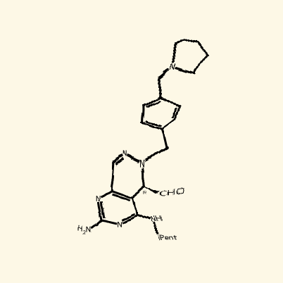 CCCC(C)Nc1nc(N)nc2c1[C@H](C=O)N(Cc1ccc(CN3CCCC3)cc1)N=C2